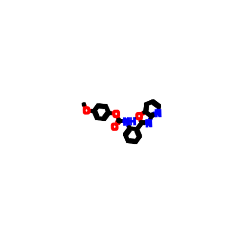 COc1ccc(OC(=O)Nc2ccccc2-c2nc3ncccc3o2)cc1